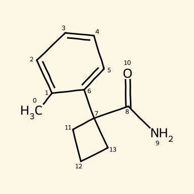 Cc1ccccc1C1(C(N)=O)CCC1